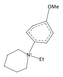 CC[N+]1(c2ccc(OC)cc2)CCCCC1